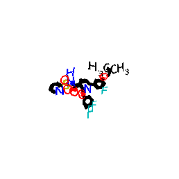 CC(C)COc1cc(F)cc(-c2ccc(C(=O)NS(=O)(=O)c3ccccn3)c(OC3CCC(F)(F)CC3)n2)c1